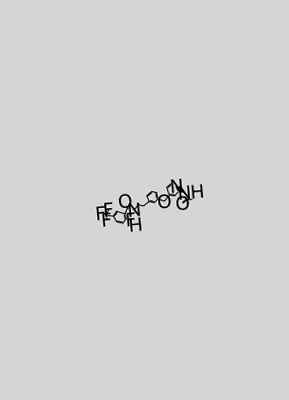 CC(=O)Nc1cc(Oc2cccc(CCNC(=O)c3cc(C(F)(F)F)ccc3F)c2)ccn1